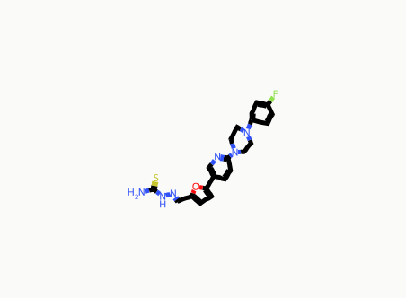 NC(=S)NN=Cc1ccc(-c2ccc(N3CCN(c4ccc(F)cc4)CC3)nc2)o1